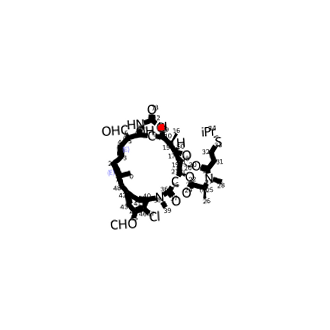 C/C1=C\C=C\[C@@H](C=O)[C@@]2(O)C[C@H](OC(=O)N2)[C@@H](C)[C@@H]2O[C@@]2(C)[C@@H](OC(=O)[C@H](C)N(C)C(=O)CCSC(C)C)CC(=O)N(C)c2cc(cc(C=O)c2Cl)C1